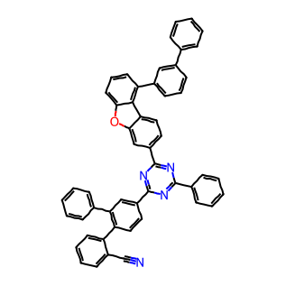 N#Cc1ccccc1-c1ccc(-c2nc(-c3ccccc3)nc(-c3ccc4c(c3)oc3cccc(-c5cccc(-c6ccccc6)c5)c34)n2)cc1-c1ccccc1